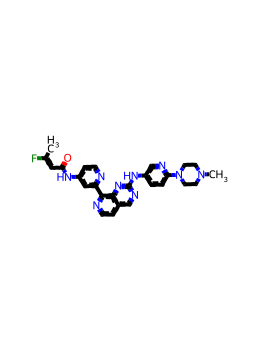 C/C(F)=C\C(=O)Nc1ccnc(-c2nccc3cnc(Nc4ccc(N5CCN(C)CC5)nc4)nc23)c1